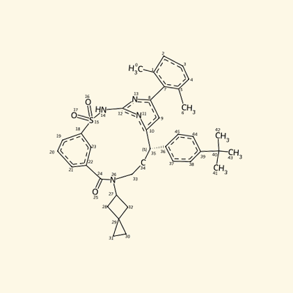 Cc1cccc(C)c1-c1cc2nc(n1)NS(=O)(=O)c1cccc(c1)C(=O)N(C1CC3(CC3)C1)CC[C@H]2c1ccc(C(C)(C)C)cc1